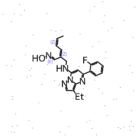 C\C=C/C=C(\C=N\O)CNc1cc(-c2ccccc2F)nc2c(CC)cnn12